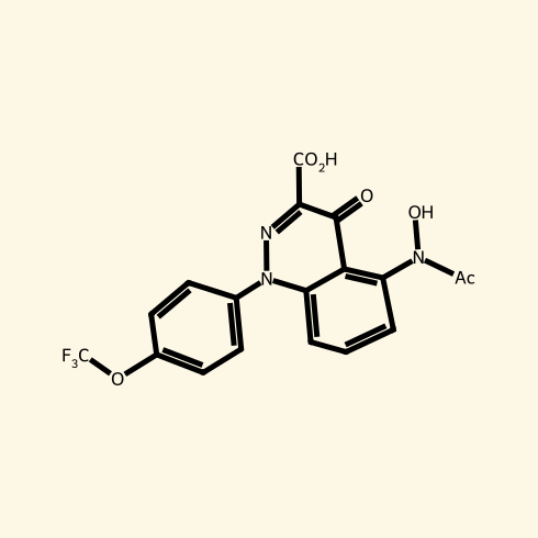 CC(=O)N(O)c1cccc2c1c(=O)c(C(=O)O)nn2-c1ccc(OC(F)(F)F)cc1